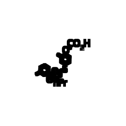 CCCN(CCSc1ccc(OCC(=O)O)c(C)c1)S(=O)(=O)c1cccc(C)c1